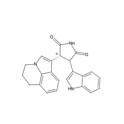 O=C1NC(=O)[C@@H](c2cn3c4c(cccc24)CCC3)C1c1c[nH]c2ccccc12